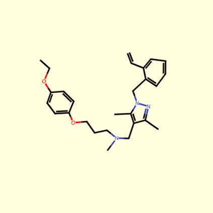 C=Cc1ccccc1Cn1nc(C)c(CN(C)CCCOc2ccc(OCC)cc2)c1C